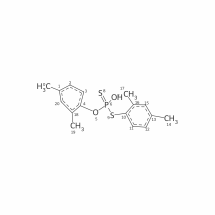 Cc1ccc(OP(O)(=S)Sc2ccc(C)cc2C)c(C)c1